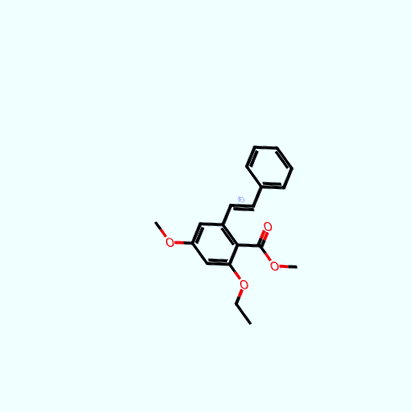 CCOc1cc(OC)cc(/C=C/c2ccccc2)c1C(=O)OC